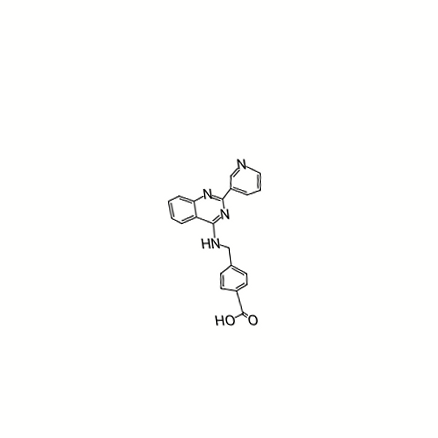 O=C(O)c1ccc(CNc2nc(-c3cccnc3)nc3ccccc23)cc1